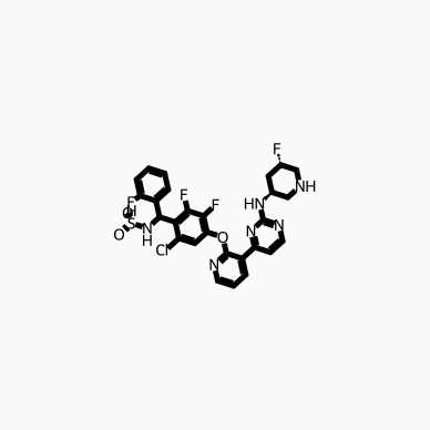 O=[SH](=O)NC(c1ccccc1F)c1c(Cl)cc(Oc2ncccc2-c2ccnc(N[C@@H]3CNC[C@@H](F)C3)n2)c(F)c1F